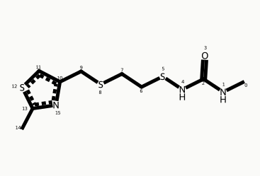 CNC(=O)NSCCSCc1csc(C)n1